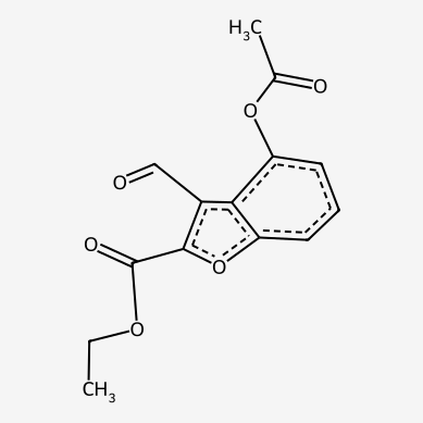 CCOC(=O)c1oc2cccc(OC(C)=O)c2c1C=O